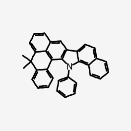 CC1(C)c2ccccc2-c2c3c1cccc3cc1c3ccc4ccccc4c3n(-c3ccccc3)c21